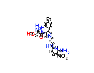 CCc1ccc(-c2cn(CCCNc3ccc([N+](=O)[O-])c(N)n3)cc2NC(=O)C(N)CO)cc1